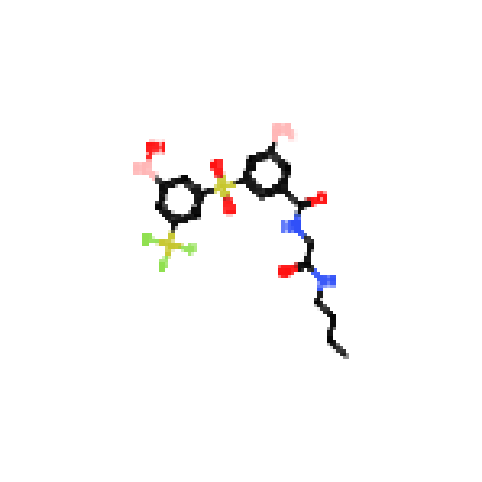 Bc1cc(C(=O)NCC(=O)NCCCC)cc(S(=O)(=O)c2cc(BO)cc(S(F)(F)F)c2)c1